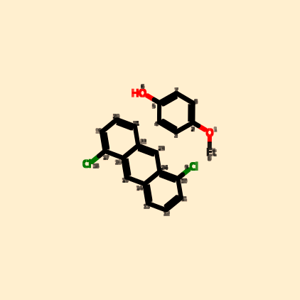 CCOc1ccc(O)cc1.Clc1cccc2cc3c(Cl)cccc3cc12